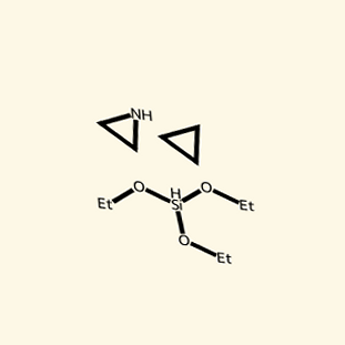 C1CC1.C1CN1.CCO[SiH](OCC)OCC